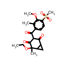 CCOC1(C)C(=O)C(C(=O)c2ccc(S(C)(=O)=O)c(OC)c2C)C(=O)C2CC21